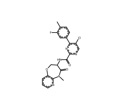 Cc1ccc(-c2nc(C(=O)NC3COc4cccnc4N(C)C3=O)ncc2Cl)cc1F